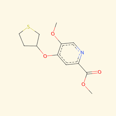 COC(=O)c1cc(OC2CCSC2)c(OC)cn1